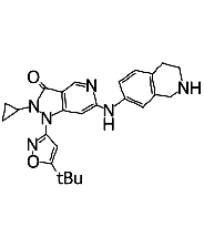 CC(C)(C)c1cc(-n2c3cc(Nc4ccc5c(c4)CNCC5)ncc3c(=O)n2C2CC2)no1